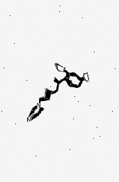 CC(CCCCn1ccnc1)c1ccc(Cl)cc1Cl